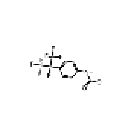 O=C(O)Nc1ccc(C(F)(C(F)(F)F)C(F)(F)F)cc1